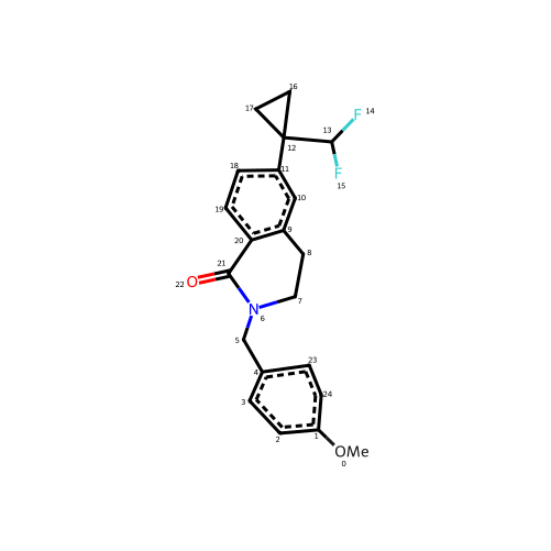 COc1ccc(CN2CCc3cc(C4(C(F)F)CC4)ccc3C2=O)cc1